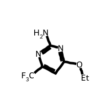 CCOc1cc(C(F)(F)F)nc(N)n1